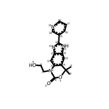 CC1(C)OC(=O)N(CCO)c2cc3nc(-c4cccnc4)[nH]c3cc21